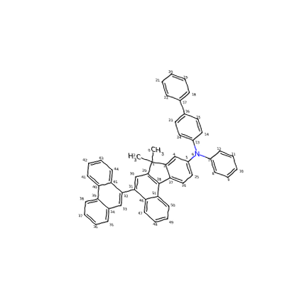 CC1(C)c2cc(N(c3ccccc3)c3ccc(-c4ccccc4)cc3)ccc2-c2c1cc(-c1cc3ccccc3c3ccccc13)c1ccccc21